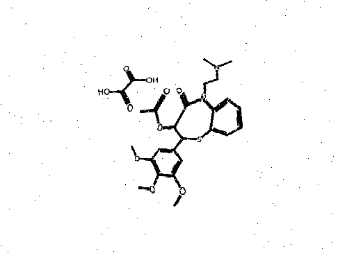 COc1cc(C2Sc3ccccc3N(CCN(C)C)C(=O)C2OC(C)=O)cc(OC)c1OC.O=C(O)C(=O)O